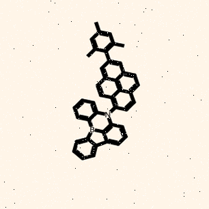 Cc1cc(C)c(-c2cc3ccc4ccc(N5c6ccccc6B6c7ccccc7-c7cccc5c76)c5ccc(c2)c3c45)c(C)c1